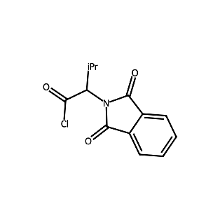 CC(C)C(C(=O)Cl)N1C(=O)c2ccccc2C1=O